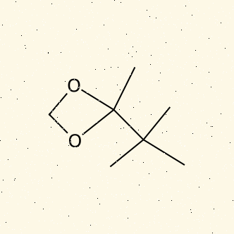 CC(C)(C)C1(C)OCO1